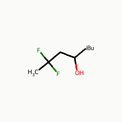 CCC(C)C(O)CC(C)(F)F